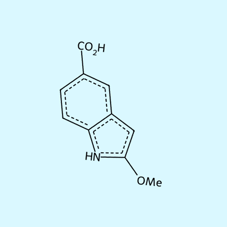 COc1cc2cc(C(=O)O)ccc2[nH]1